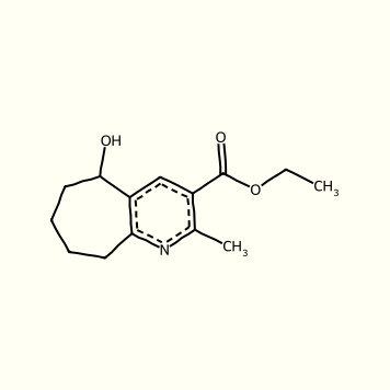 CCOC(=O)c1cc2c(nc1C)CCCCC2O